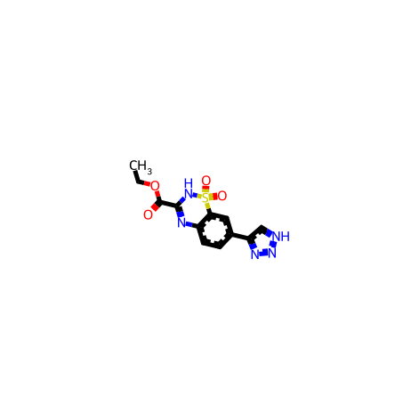 CCOC(=O)C1=Nc2ccc(-c3c[nH]nn3)cc2S(=O)(=O)N1